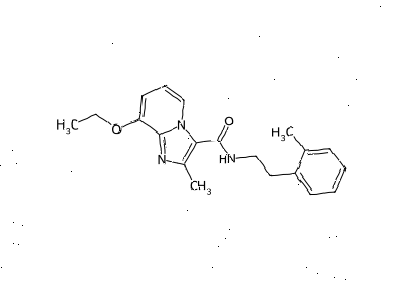 CCOc1cccn2c(C(=O)NCCc3ccccc3C)c(C)nc12